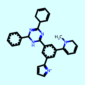 CN1CC=CC=C1c1cc(C2=NC(C3C=CC=CC3)=NC(c3ccccc3)N2)cc(C2=[N+]=CC=C2)c1